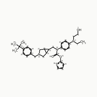 CCN(CCO)c1ccc(N(CC2C3CN(Cc4ccc(C(C)(C)C)cc4)CC32)C(=O)Oc2cccs2)cc1